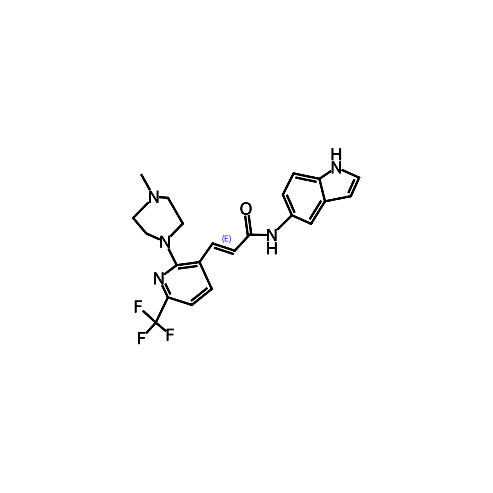 CN1CCN(c2nc(C(F)(F)F)ccc2/C=C/C(=O)Nc2ccc3[nH]ccc3c2)CC1